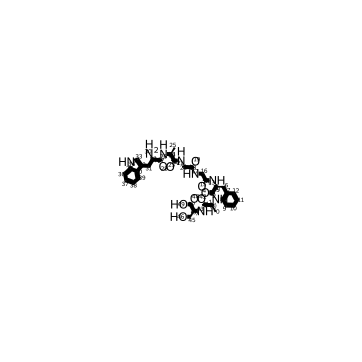 C[C@H](NC(=O)[C@H](Cc1ccccc1)NC(=O)CNC(=O)CNC(=O)[C@H](C)NC(=O)[C@@H](N)Cc1c[nH]c2ccccc12)C(=O)N[C@@H](CO)C(=O)O